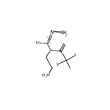 C=C(N(CCN)/C(CC)=N\N)C(C)(F)F